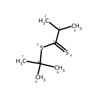 CC(C)C(=S)SC(C)(C)C